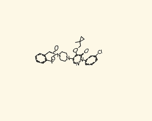 CC1(COc2c(N3CCN(S(=O)(=O)Cc4ccccc4F)CC3)cnn(-c3cccc(Cl)c3)c2=O)CC1